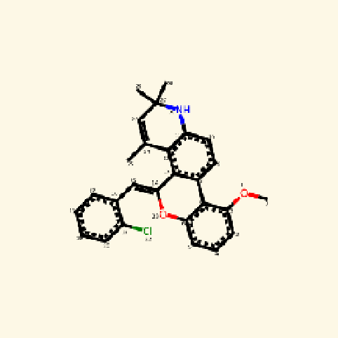 COc1cccc2c1-c1ccc3c(c1C(=Cc1ccccc1Cl)O2)C(C)=CC(C)(C)N3